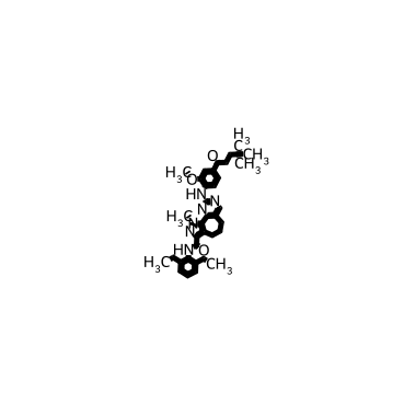 CCc1cccc(CC)c1NC(=O)c1nn(C)c2c1CCCc1cnc(Nc3ccc(C(=O)CCC(C)(C)C)cc3OC)nc1-2